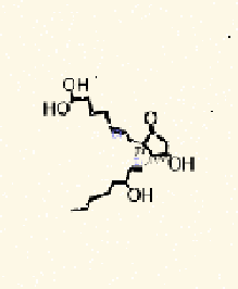 CCCCCC(O)/C=C/[C@H]1[C@H](O)CC(=O)[C@@H]1C/C=C/CCCC(O)O